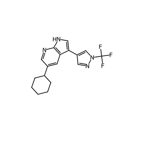 FC(F)(F)n1cc(-c2c[nH]c3ncc(C4CCCCC4)cc23)cn1